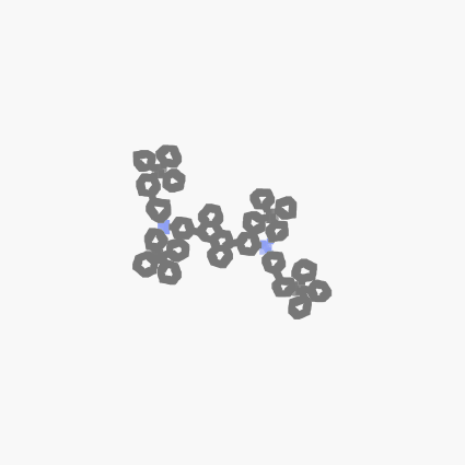 c1ccc([Si](c2ccccc2)(c2ccccc2)c2cccc(-c3ccc(N(c4ccc(-c5cc6c7ccccc7c(-c7ccc(N(c8ccc(-c9cccc([Si](c%10ccccc%10)(c%10ccccc%10)c%10ccccc%10)c9)cc8)c8cccc([Si](c9ccccc9)(c9ccccc9)c9ccccc9)c8)cc7)cc6c6ccccc56)cc4)c4cccc([Si](c5ccccc5)(c5ccccc5)c5ccccc5)c4)cc3)c2)cc1